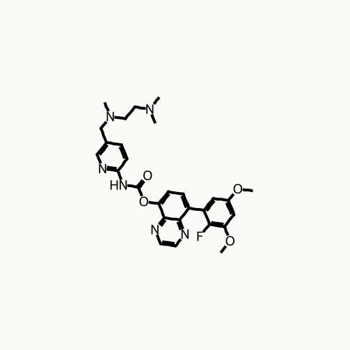 COc1cc(OC)c(F)c(-c2ccc(OC(=O)Nc3ccc(CN(C)CCN(C)C)cn3)c3nccnc23)c1